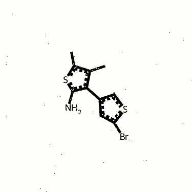 Cc1sc(N)c(-c2[c]sc(Br)c2)c1C